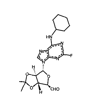 CC1(C)O[C@@H]2[C@@H](O1)[C@H](n1cnc3c(NC4CCCCC4)nc(F)nc31)O[C@H]2C=O